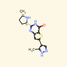 Cc1[nH]ncc1-c1cc2nc([C@@H]3CC[C@H](C)N3)[nH]c(=O)c2s1